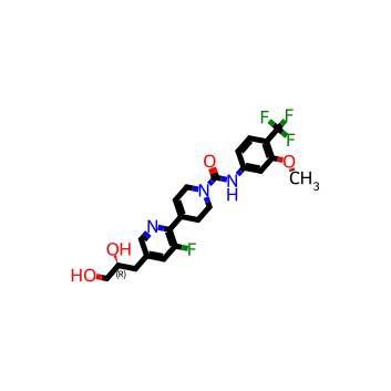 COc1cc(NC(=O)N2CC=C(c3ncc(C[C@@H](O)CO)cc3F)CC2)ccc1C(F)(F)F